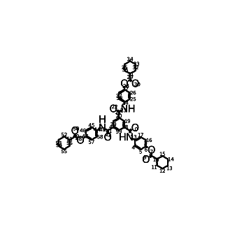 O=C(Nc1ccc(OC(=O)C2CCCCC2)cc1)c1cc(C(=O)Nc2ccc(OC(=O)C3CCCCC3)cc2)cc(C(=O)Nc2ccc(OC(=O)C3CCCCC3)cc2)c1